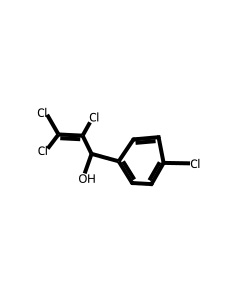 OC(C(Cl)=C(Cl)Cl)c1ccc(Cl)cc1